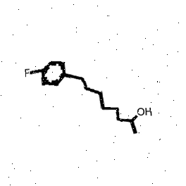 [CH2]C(O)CCCCCCc1ccc(F)cc1